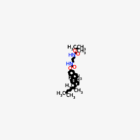 CC(C)CCC[C@@H](C)[C@H]1CC[C@H]2[C@@H]3CC=C4C[C@@H](OC(=O)NCCCNC(=O)OC(C)(C)C)CC[C@]4(C)[C@H]3CC[C@]12C